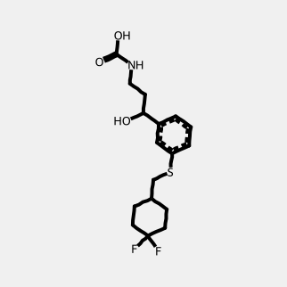 O=C(O)NCCC(O)c1cccc(SCC2CCC(F)(F)CC2)c1